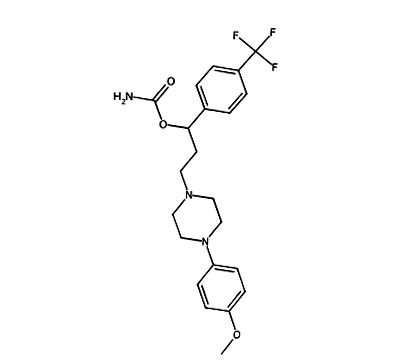 COc1ccc(N2CCN(CCC(OC(N)=O)c3ccc(C(F)(F)F)cc3)CC2)cc1